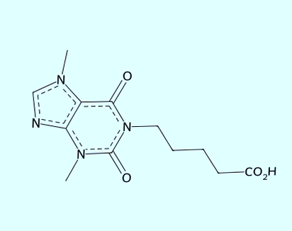 Cn1cnc2c1c(=O)n(CCCCC(=O)O)c(=O)n2C